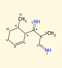 CC(C=N)C(=N)C1C=CCCC1C